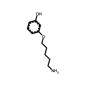 NCCCCCOc1cccc(O)c1